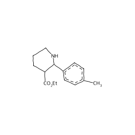 CCOC(=O)C1CCCNC1c1ccc(C)cc1